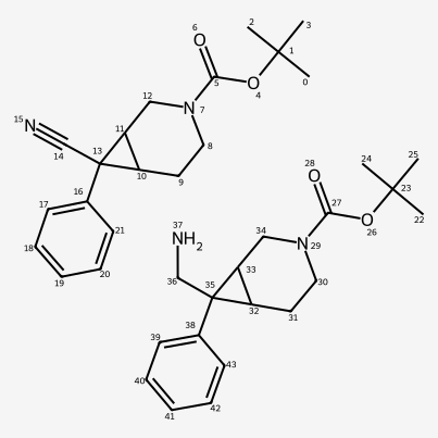 CC(C)(C)OC(=O)N1CCC2C(C1)C2(C#N)c1ccccc1.CC(C)(C)OC(=O)N1CCC2C(C1)C2(CN)c1ccccc1